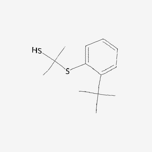 CC(C)(S)Sc1ccccc1C(C)(C)C